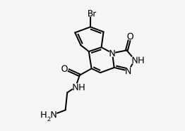 NCCNC(=O)c1cc2n[nH]c(=O)n2c2cc(Br)ccc12